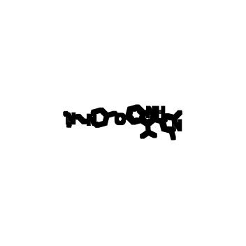 Cc1cc(-c2[nH]c3ccc(OCC4CCN(CCN(C)C)CC4)cc3c2C(C)C)cc(C)n1